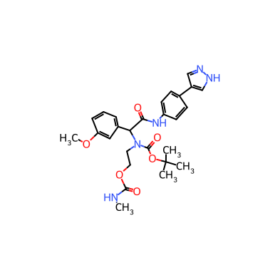 CNC(=O)OCCN(C(=O)OC(C)(C)C)C(C(=O)Nc1ccc(-c2cn[nH]c2)cc1)c1cccc(OC)c1